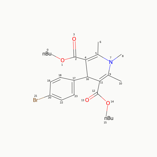 CCCCOC(=O)C1=C(C)N(C)C(C)=C(C(=O)OCCCC)C1c1ccc(Br)cc1